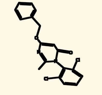 Cc1nc(OCc2ccccc2)cc(=O)n1-c1c(Cl)cccc1Cl